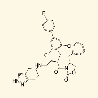 O=C1OC[C@@H](Cc2ccccc2)N1C(=O)[C@@H](CCN[C@H]1CCc2n[nH]cc2C1)Cc1c(Cl)cc(-c2ccc(F)cc2)cc1Cl